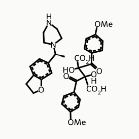 COc1ccc(C(=O)C(O)(C(=O)O)C(O)(C(=O)O)C(=O)c2ccc(OC)cc2)cc1.C[C@@H](c1ccc2c(c1)OCC2)N1CCNCC1